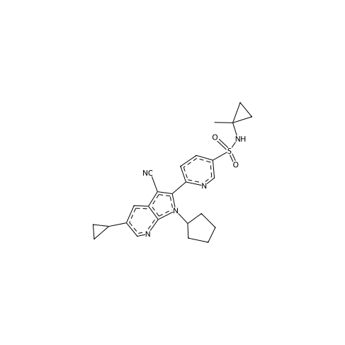 CC1(NS(=O)(=O)c2ccc(-c3c(C#N)c4cc(C5CC5)cnc4n3C3CCCC3)nc2)CC1